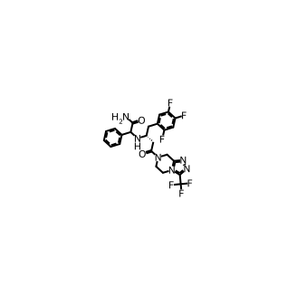 NC(=O)C(N[C@@H](CC(=O)N1CCn2c(nnc2C(F)(F)F)C1)Cc1cc(F)c(F)cc1F)c1ccccc1